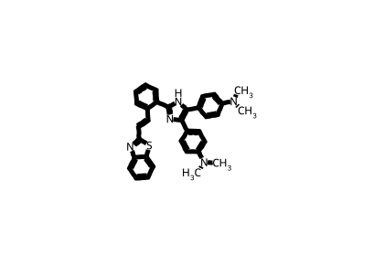 CN(C)c1ccc(-c2nc(-c3ccccc3/C=C/c3nc4ccccc4s3)[nH]c2-c2ccc(N(C)C)cc2)cc1